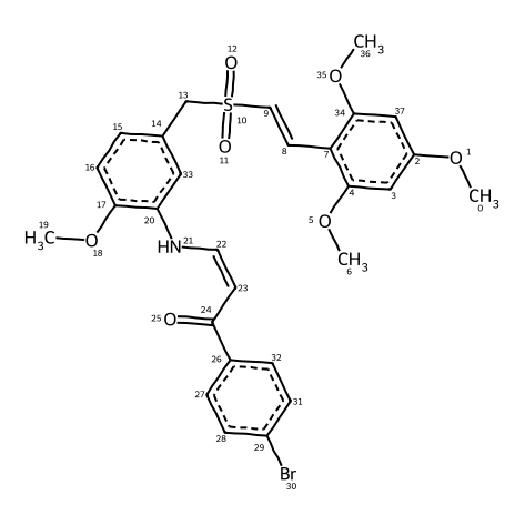 COc1cc(OC)c(/C=C/S(=O)(=O)Cc2ccc(OC)c(N/C=C\C(=O)c3ccc(Br)cc3)c2)c(OC)c1